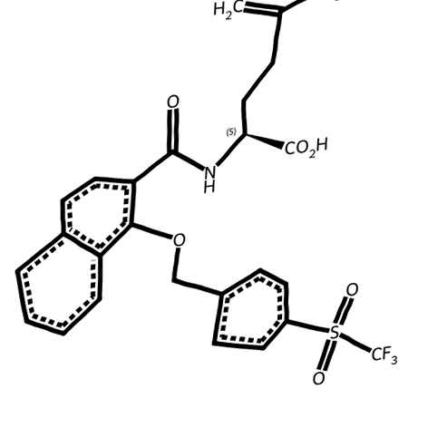 C=C(CC[C@H](NC(=O)c1ccc2ccccc2c1OCc1ccc(S(=O)(=O)C(F)(F)F)cc1)C(=O)O)C(F)(F)F